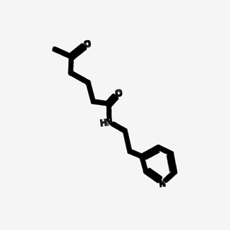 CC(=O)CCCC(=O)NCCc1cccnc1